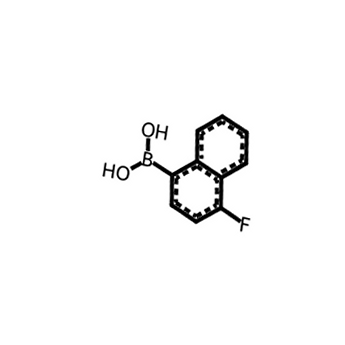 OB(O)c1ccc(F)c2ccccc12